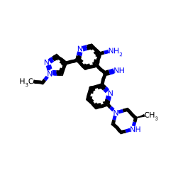 CCn1cc(-c2cc(C(=N)c3cccc(N4CCN[C@H](C)C4)n3)c(N)cn2)cn1